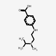 CC(C)N(C)CCNc1ccc(C(=O)O)cc1